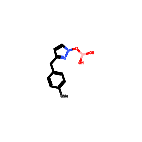 COc1ccc(Cc2ccn(OB(O)O)n2)cc1